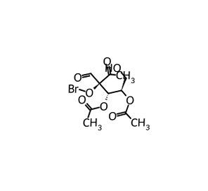 CC(=O)O[C@H](CO)[C@H](OC(C)=O)[C@@](C=O)(OBr)C(C)=O